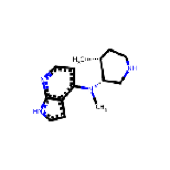 C[C@@H]1CCNC[C@@H]1N(C)c1ccnc2[nH]ccc12